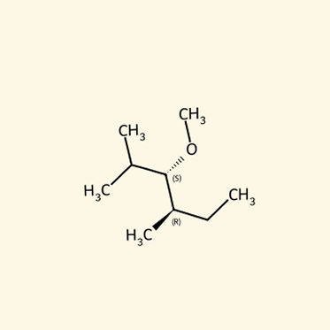 CC[C@@H](C)[C@@H](OC)C(C)C